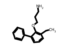 CCc1cccc(-c2ccccc2)c1OCCCN